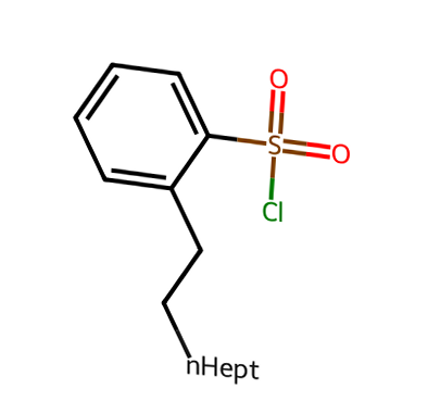 CCCCCCCCCc1ccccc1S(=O)(=O)Cl